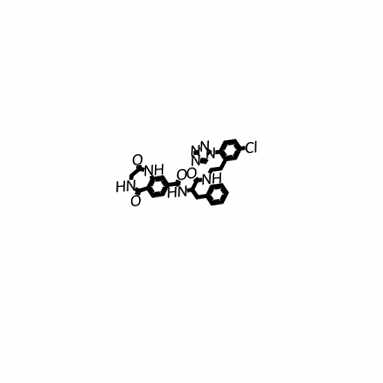 O=C1CNC(=O)c2ccc(C(=O)NC(Cc3ccccc3)C(=O)NCCc3cc(Cl)ccc3-n3cnnn3)cc2N1